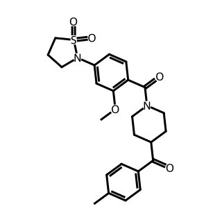 COc1cc(N2CCCS2(=O)=O)ccc1C(=O)N1CCC(C(=O)c2ccc(C)cc2)CC1